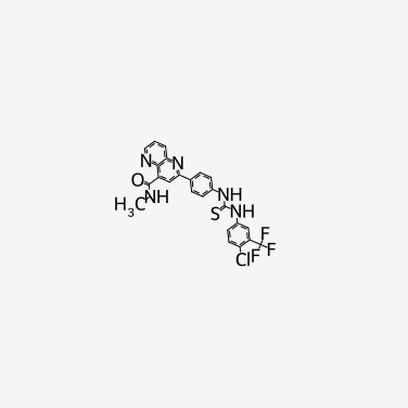 CNC(=O)c1cc(-c2ccc(NC(=S)Nc3ccc(Cl)c(C(F)(F)F)c3)cc2)nc2cccnc12